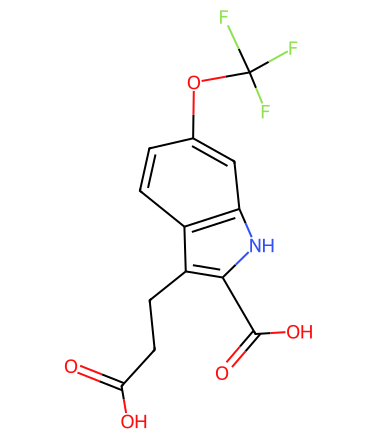 O=C(O)CCc1c(C(=O)O)[nH]c2cc(OC(F)(F)F)ccc12